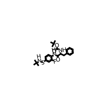 CC(C)(C)NSc1ccc(NC(=O)C(Cc2ccccc2)NC(=O)OC(C)(C)C)c(F)c1